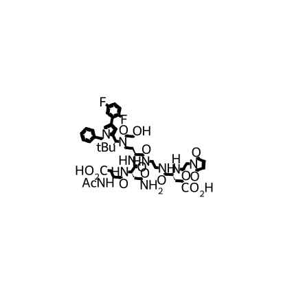 CC(=O)N[C@H](CC(=O)O)C(=O)N[C@@H](CC(N)=O)C(=O)N[C@@H](CCN(C(=O)CO)[C@@H](c1cc(-c2cc(F)ccc2F)cn1Cc1ccccc1)C(C)(C)C)C(=O)NCCNC(=O)[C@@H](CCC(=O)O)NC(=O)CN1C(=O)C=CC1=O